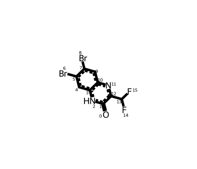 O=c1[nH]c2cc(Br)c(Br)cc2nc1C(F)F